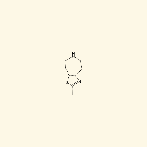 Ic1nc2c(s1)CCNCC2